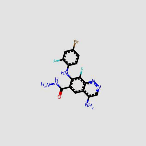 NNC(=O)c1cc2c(N)cnnc2c(F)c1Nc1ccc(Br)cc1F